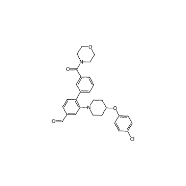 O=Cc1ccc(-c2cccc(C(=O)N3CCOCC3)c2)c(N2CCC(Oc3ccc(Cl)cc3)CC2)c1